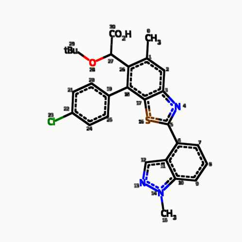 Cc1cc2nc(-c3cccc4c3cnn4C)sc2c(-c2ccc(Cl)cc2)c1C(OC(C)(C)C)C(=O)O